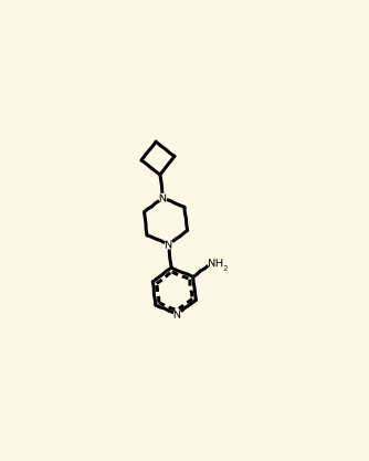 Nc1cnccc1N1CCN(C2CCC2)CC1